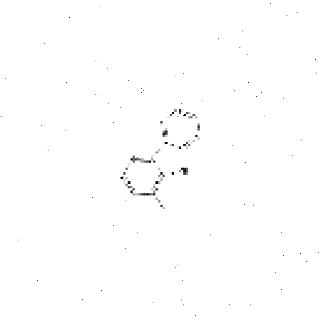 Cc1ccnc2c1[nH]c1ccccc12